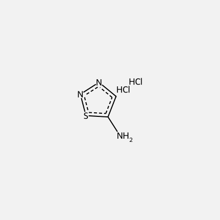 Cl.Cl.Nc1cnns1